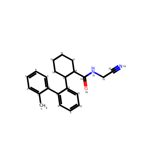 Cc1ccccc1-c1ccccc1C1CCCCC1C(=O)NCC#N